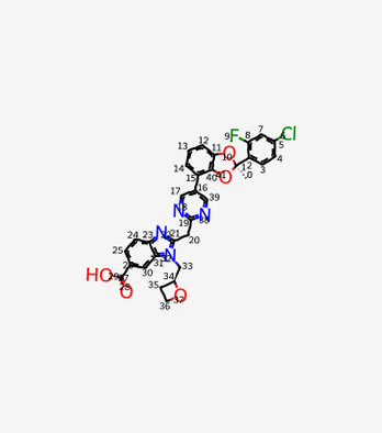 C[C@@]1(c2ccc(Cl)cc2F)Oc2cccc(-c3cnc(Cc4nc5ccc(C(=O)O)cc5n4C[C@@H]4CCO4)nc3)c2O1